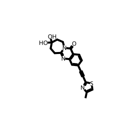 Cc1csc(C#Cc2ccc3c(=O)n4c(nc3c2)CCC(O)(O)CC4)n1